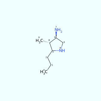 CCCC1NC[C@H](N)[C@H]1C